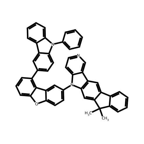 CC1(C)c2ccccc2-c2cc3c4cnccc4n(-c4ccc5oc6cccc(-c7ccc8c(c7)c7ccccc7n8-c7ccccc7)c6c5c4)c3cc21